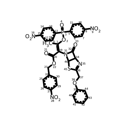 CC(OP(=O)(c1ccc([N+](=O)[O-])cc1)c1ccc([N+](=O)[O-])cc1)=C(C(=O)OCc1ccc([N+](=O)[O-])cc1)N1C(=O)C2N=C(COc3ccccc3)SC21